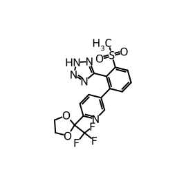 CS(=O)(=O)c1cccc(-c2ccc(C3(C(F)(F)F)OCCO3)nc2)c1-c1nn[nH]n1